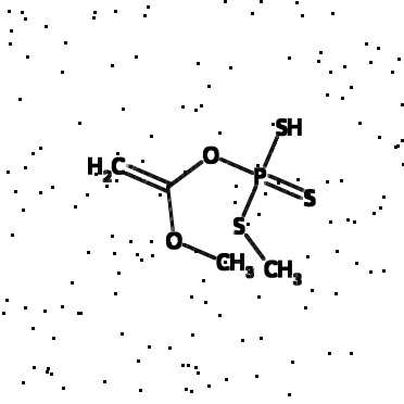 C=C(OC)OP(=S)(S)SC